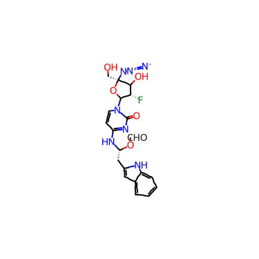 [N-]=[N+]=N[C@]1(CO)OC(n2ccc(N[C@@H](Cc3cc4ccccc4[nH]3)OC=O)nc2=O)[C@@H](F)C1O